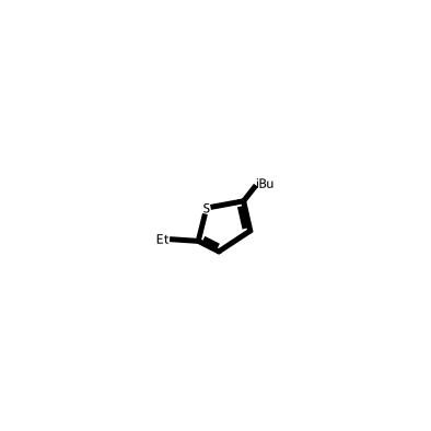 CCc1ccc(C(C)CC)s1